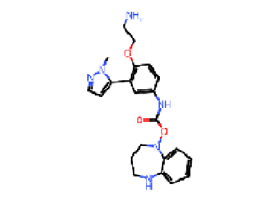 Cn1nccc1-c1cc(NC(=O)ON2CCCNc3ccccc32)ccc1OCCN